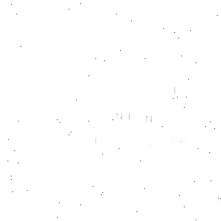 CC(C)CC(N[C@@H](c1cccc(-c2ccccc2F)c1)C(F)(F)F)C(=O)N1C[C@H](F)[C@H]2OC[C@H](O)[C@H]21